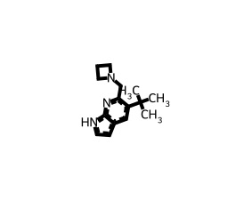 CC(C)(C)c1cc2cc[nH]c2nc1CN1CCC1